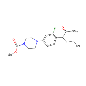 COC(=O)C(CCC#N)c1ccc(N2CCN(C(=O)OC(C)(C)C)CC2)cc1F